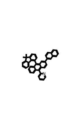 CC1(C)c2ccccc2-c2c(-c3c4ccccc4c(-c4ccccn4)c4ccc(-c5ccc6ccccc6c5)cc34)cccc21